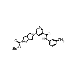 Cc1cccc(NC(=O)c2cncc(N3CC4CN(C(=O)OC(C)(C)C)CC4C3)c2)c1